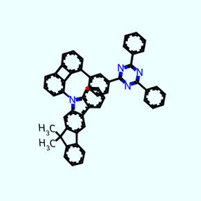 CC1(C)c2ccccc2-c2cc3c4ccccc4n(-c4cccc5c4-c4c(-c6cccc(-c7nc(-c8ccccc8)nc(-c8ccccc8)n7)c6)cccc4-5)c3cc21